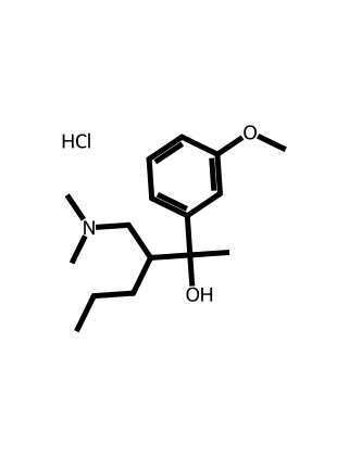 CCCC(CN(C)C)C(C)(O)c1cccc(OC)c1.Cl